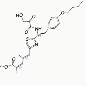 CCCCOc1ccc(C[C@H](NC(=O)C(=O)CO)c2nc(/C=C(C)/C=C(/C)C(=O)OCC)cs2)cc1